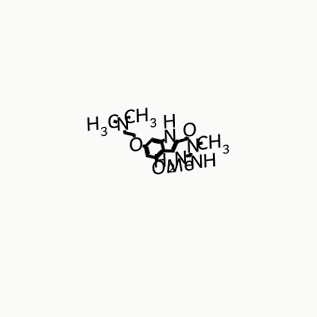 COc1cc(OCCN(C)C)cc2[nH]c(C(=O)N(C)C(=N)N)cc12